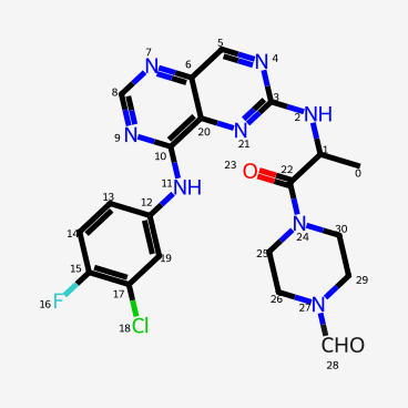 CC(Nc1ncc2ncnc(Nc3ccc(F)c(Cl)c3)c2n1)C(=O)N1CCN(C=O)CC1